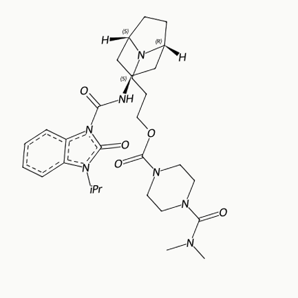 CC(C)n1c(=O)n(C(=O)N[C@@H]2C[C@H]3CC[C@@H](C2)N3CCCOC(=O)N2CCN(C(=O)N(C)C)CC2)c2ccccc21